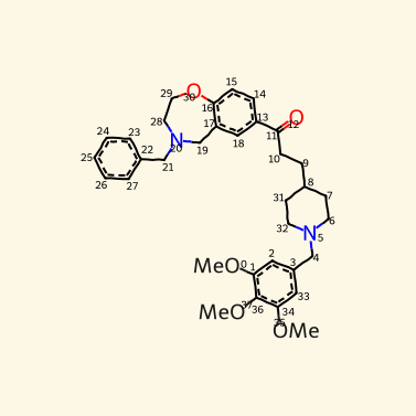 COc1cc(CN2CCC(CCC(=O)c3ccc4c(c3)CN(Cc3ccccc3)CCO4)CC2)cc(OC)c1OC